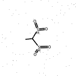 C[C]([SH](=O)=O)[SH](=O)=O